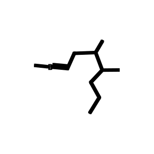 C/B=C/CC(C)C(C)CCC